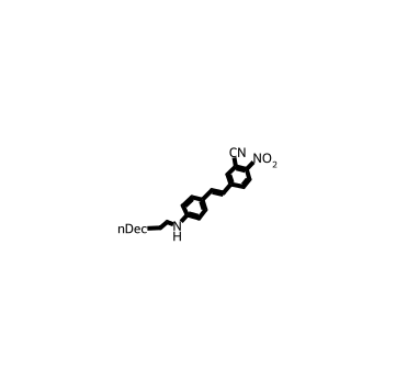 CCCCCCCCCCCCNc1ccc(C=Cc2ccc([N+](=O)[O-])c(C#N)c2)cc1